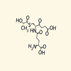 C[C@H](O)C(=O)SC[C@H](NC(=O)CC[C@H](N)C(=O)O)C(=O)CCC(=O)O